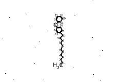 CCCCCCCCCCCCc1ccc(Oc2ccccc2)cc1